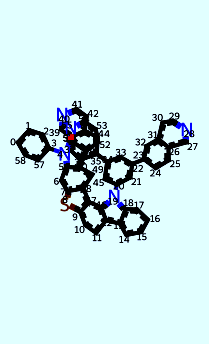 c1ccc(-n2c3cc4sc5ccc6c7ccccc7n(-c7cc(-c8ccc9cnccc9c8)cc(-c8ccc9cnccc9c8)c7)c6c5c4cc3c3cccnc32)cc1